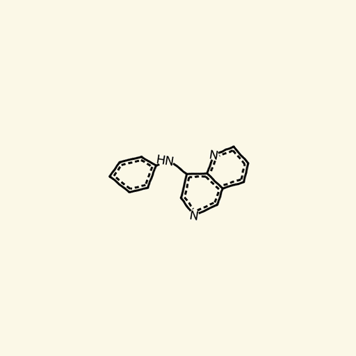 c1ccc(Nc2cncc3cccnc23)cc1